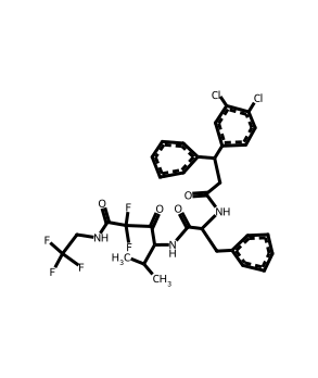 CC(C)C(NC(=O)C(Cc1ccccc1)NC(=O)CC(c1ccccc1)c1ccc(Cl)c(Cl)c1)C(=O)C(F)(F)C(=O)NCC(F)(F)F